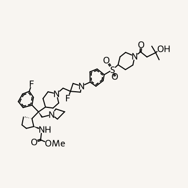 COC(=O)N[C@H]1CCC[C@@H]1[C@](CN1CCC1)(c1cccc(F)c1)C1CCN(CC2(F)CN(c3ccc(S(=O)(=O)C4CCN(C(=O)CC(C)(C)O)CC4)cc3)C2)CC1